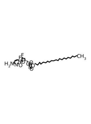 CCCCCCCCCCCCCCCCCCCCCCOP(=O)(N=O)OC[C@@H]1CC(F)(F)[C@H](n2ccc(N)nc2=O)O1